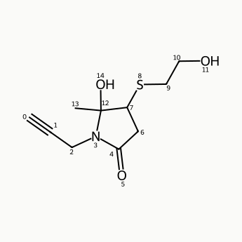 C#CCN1C(=O)CC(SCCO)C1(C)O